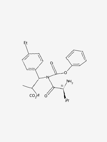 CCc1ccc(C(C(C)C(=O)O)N(C(=O)Oc2ccccc2)C(=O)[C@@H](N)C(C)C)cc1